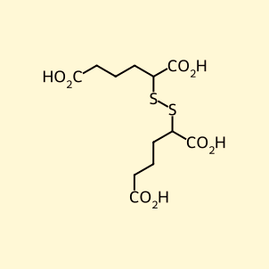 O=C(O)CCCC(SSC(CCCC(=O)O)C(=O)O)C(=O)O